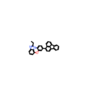 CCc1nc2cccc3c2n1-c1ccc(-c2ccc4c5c(cccc25)-c2ccccc2-4)cc1O3